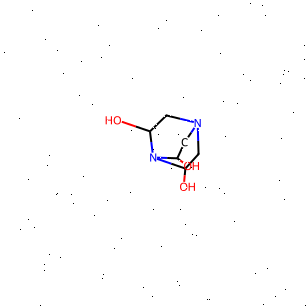 OC1CN2CC(O)N1C(O)C2